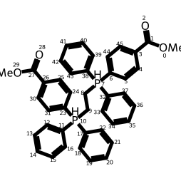 COC(=O)c1ccc([PH](CC[PH](c2ccccc2)(c2ccccc2)c2ccc(C(=O)OC)cc2)(c2ccccc2)c2ccccc2)cc1